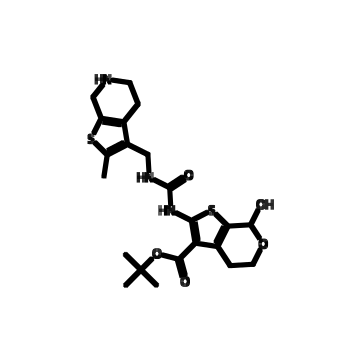 Cc1sc2c(c1CNC(=O)Nc1sc3c(c1C(=O)OC(C)(C)C)CCOC3O)CCNC2